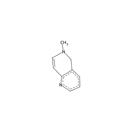 CN1C=Cc2ncccc2C1